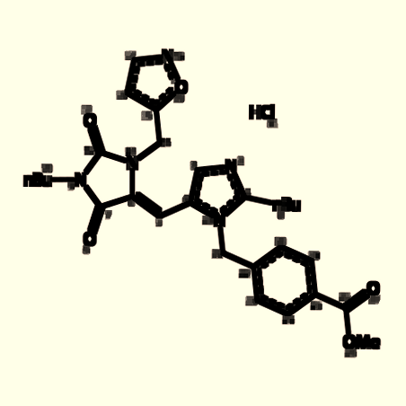 CCCCc1ncc(C=C2C(=O)N(CCCC)C(=O)N2Cc2ccno2)n1Cc1ccc(C(=O)OC)cc1.Cl